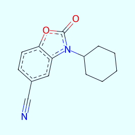 N#Cc1ccc2oc(=O)n(C3CCCCC3)c2c1